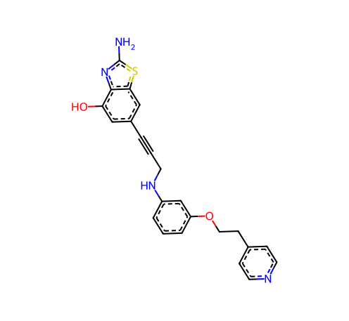 Nc1nc2c(O)cc(C#CCNc3cccc(OCCc4ccncc4)c3)cc2s1